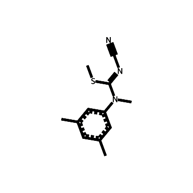 CS/C(=N\C#N)N(C)c1cc(C)cc(C)c1